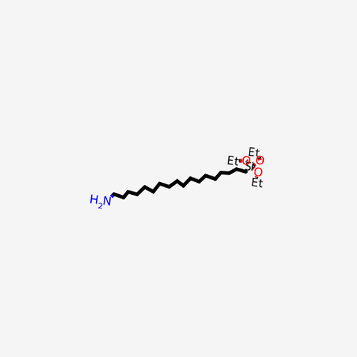 CCO[Si](CCCCCCCCCCCCCCCCCCN)(OCC)OCC